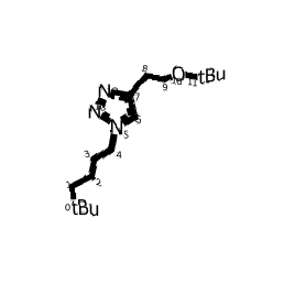 CC(C)(C)CCCCn1cc(CCOC(C)(C)C)nn1